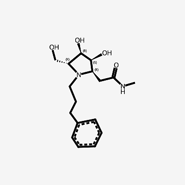 CNC(=O)C[C@@H]1[C@H](O)[C@H](O)[C@@H](CO)N1CCCc1ccccc1